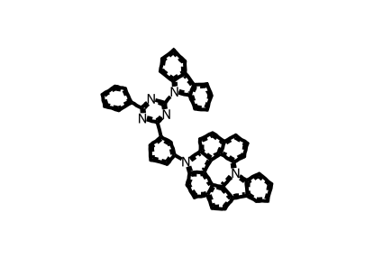 c1ccc(-c2nc(-c3cccc(-n4c5ccc6cccc7c6c5c5c6c(ccc8c9ccccc9n7c86)ccc54)c3)nc(-n3c4ccccc4c4ccccc43)n2)cc1